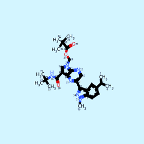 CC(C)c1ccc2c(c1)c(-c1cnc3c(n1)c(C(=O)NC(C)(C)C)cn3COC(=O)C(C)(C)C)nn2C